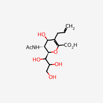 C=CCC1=C(C(=O)O)O[C@@H](C(O)C(O)CO)[C@H](NC(C)=O)[C@H]1O